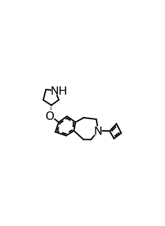 C1=CC(N2CCc3ccc(O[C@@H]4CCNC4)cc3CC2)=C1